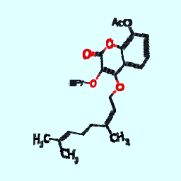 CC(=O)Oc1cccc2c(OCC=C(C)CCC=C(C)C)c(OC(C)C)c(=O)oc12